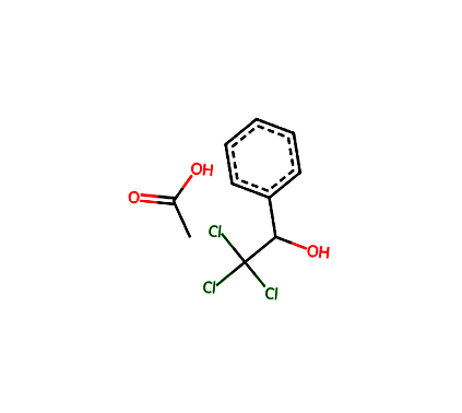 CC(=O)O.OC(c1ccccc1)C(Cl)(Cl)Cl